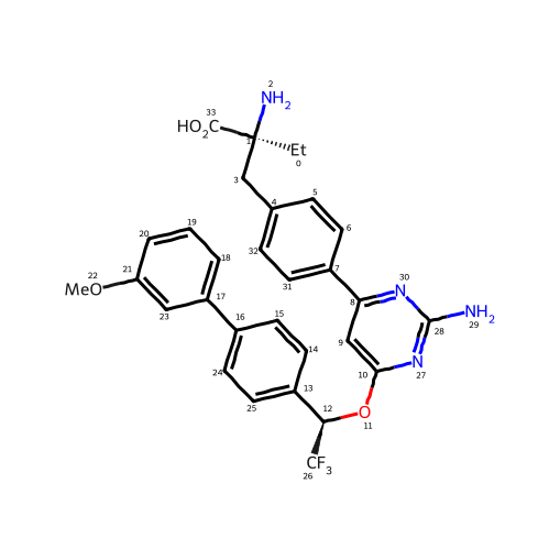 CC[C@](N)(Cc1ccc(-c2cc(O[C@H](c3ccc(-c4cccc(OC)c4)cc3)C(F)(F)F)nc(N)n2)cc1)C(=O)O